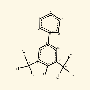 Cc1c(C(F)(F)F)cc(-c2ccccc2)cc1C(F)(F)F